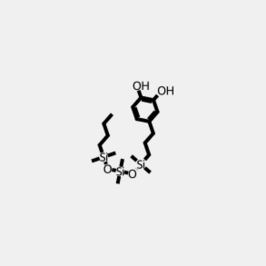 CCCC[Si](C)(C)O[Si](C)(C)O[Si](C)(C)CCCc1ccc(O)c(O)c1